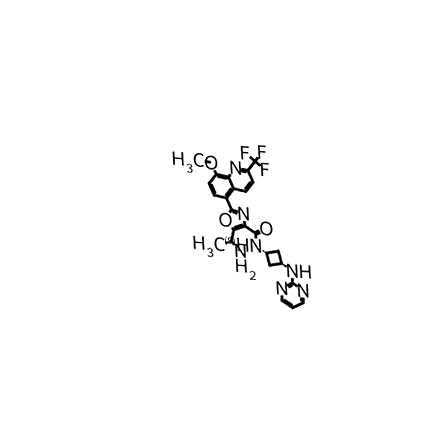 COc1ccc(-c2nc(C(=O)N[C@H]3C[C@H](Nc4ncccn4)C3)c([C@H](C)N)o2)c2ccc(C(F)(F)F)nc12